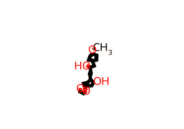 COc1ccc(CC(O)C#CC2C(O)CC3C2CC32OCCO2)cc1